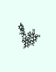 O=c1c2cc(F)cnc2n(-c2cccc(-c3ccc(O)cc3CN3CCC[C@@H]3CO)c2)c(=O)n1[C@H]1CC[C@@H](NCC2CN3C=C(F)C=CC3=N2)CC1